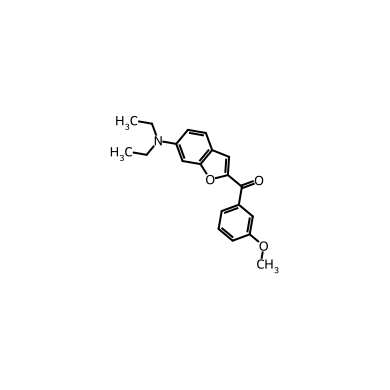 CCN(CC)c1ccc2cc(C(=O)c3cccc(OC)c3)oc2c1